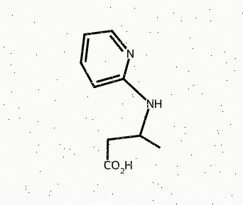 CC(CC(=O)O)Nc1ccccn1